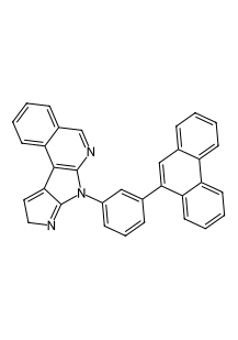 C1=c2c(n(-c3cccc(-c4cc5ccccc5c5ccccc45)c3)c3ncc4ccccc4c23)=NC1